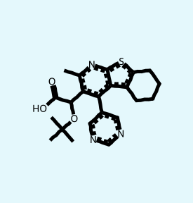 Cc1nc2sc3c(c2c(-c2cncnc2)c1C(OC(C)(C)C)C(=O)O)CCCC3